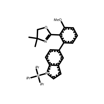 COc1cccc(-c2ccc3c(ccn3[Si](C(C)C)(C(C)C)C(C)C)c2)c1C1=NC(C)(C)CO1